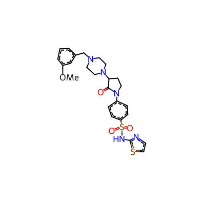 COc1cccc(CN2CCN(C3CCN(c4ccc(S(=O)(=O)Nc5nccs5)cc4)C3=O)CC2)c1